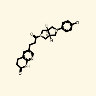 O=C1CCc2cc(CCC(=O)N3C[C@@H]4CN(c5ccc(Cl)cc5)C[C@@H]4C3)cnc2N1